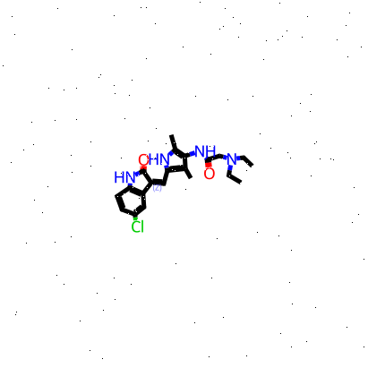 CCN(CC)CC(=O)Nc1c(C)[nH]c(/C=C2\C(=O)Nc3ccc(Cl)cc32)c1C